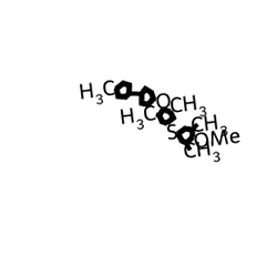 COc1c(C)cc(Sc2cc(C)c(Oc3ccc(-c4ccc(C)cc4)cc3)c(C)c2)cc1C